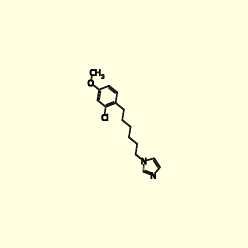 COc1ccc(CCCCCCn2ccnc2)c(Cl)c1